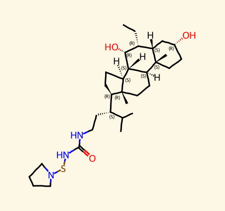 CC[C@H]1[C@@H](O)[C@@H]2[C@H](CC[C@]3(C)[C@@H]([C@@H](CCNC(=O)NSN4CCCC4)C(C)C)CC[C@@H]23)[C@@]2(C)CC[C@@H](O)C[C@@H]12